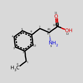 CCc1cccc(C[C@@H](N)C(=O)O)c1